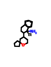 CCC1(N)c2ccccc2CCC1C1CCOC2(CCCC2)C1